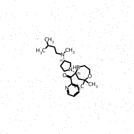 CC(C)CCN(C)[C@H]1CCN([C@]2(C(=O)c3ccccn3)BCCOC(C)(C)C2)C1